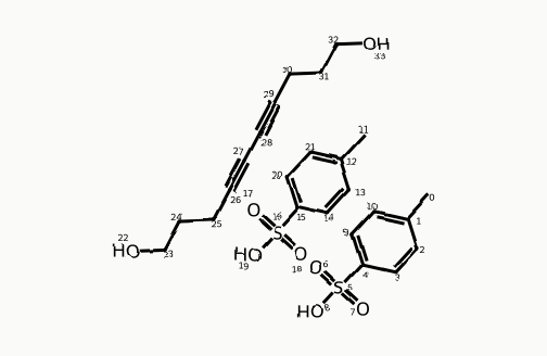 Cc1ccc(S(=O)(=O)O)cc1.Cc1ccc(S(=O)(=O)O)cc1.OCCCC#CC#CCCCO